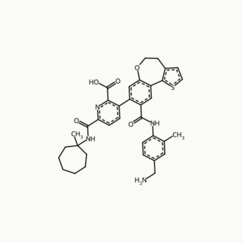 Cc1cc(CN)ccc1NC(=O)c1cc2c(cc1-c1ccc(C(=O)NC3(C)CCCCCC3)nc1C(=O)O)OCCc1ccsc1-2